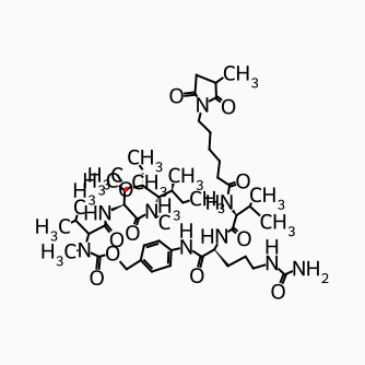 CC[C@H](C)[C@@H]([C@@H](CC)OC)N(C)C(=O)[C@@H](NC(=O)C(C(C)C)N(C)C(=O)OCc1ccc(NC(=O)[C@H](CCCNC(N)=O)NC(=O)[C@@H](NC(=O)CCCCCN2C(=O)CC(C)C2=O)C(C)C)cc1)C(C)C